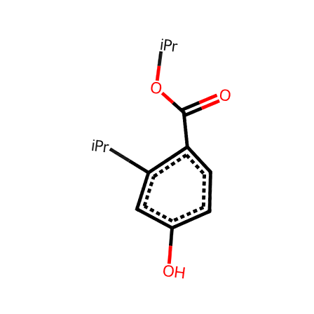 CC(C)OC(=O)c1ccc(O)cc1C(C)C